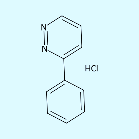 Cl.c1ccc(-c2cccnn2)cc1